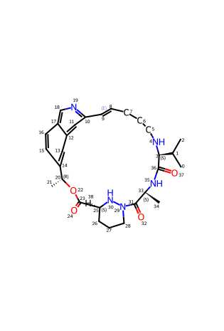 CC(C)[C@@H]1NCCC/C=C/c2cc3cc(ccc3cn2)[C@@H](C)OC(=O)[C@@H]2CCCN(N2)C(=O)[C@H](C)NC1=O